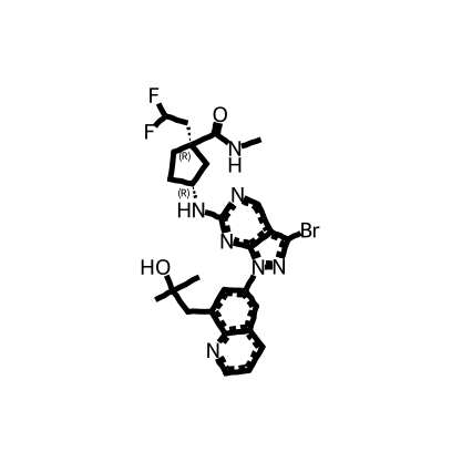 CNC(=O)[C@]1(CC(F)F)CC[C@@H](Nc2ncc3c(Br)nn(-c4cc(CC(C)(C)O)c5ncccc5c4)c3n2)C1